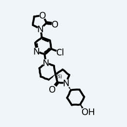 O=C1OCCN1c1cnc(N2CCC[C@]3(CCN([C@H]4CC[C@H](O)CC4)C3=O)C2)c(Cl)c1